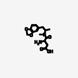 CC(Cc1ccc2c(c1)OCO2)N(C)C(=O)C(N)CC(=O)O